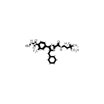 CC(C)(C)NS(=O)(=O)c1ccc(-c2sc(C(=O)NCCC(C)(C)C(=O)O)nc2CC2CCCCC2)cc1C(F)(F)F